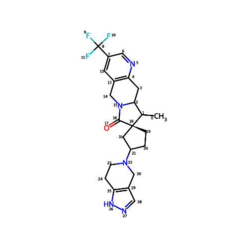 CC1C2Cc3ncc(C(F)(F)F)cc3CN2C(=O)[C@]12CCC(N1CCc3[nH]ncc3C1)C2